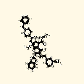 CCCNC(=O)C1CC(C)(CC(=O)N2CCN(Cc3ccccc3)CC2)c2nc(B3Oc4ccccc4O3)c(NCc3cccc(C(F)(F)F)c3)c(=O)n21